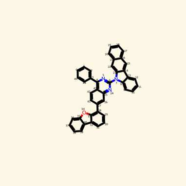 c1ccc(-c2nc(-n3c4ccccc4c4cc5ccccc5cc43)nc3cc(-c4cccc5c4oc4ccccc45)ccc23)cc1